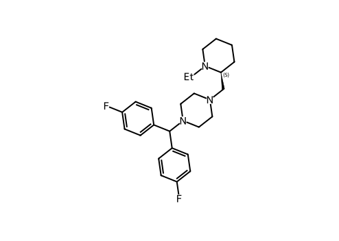 CCN1CCCC[C@H]1CN1CCN(C(c2ccc(F)cc2)c2ccc(F)cc2)CC1